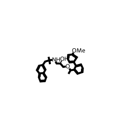 COc1cccc(-c2ccccc2C(C)OC[C@H](O)CNC(C)(C)Cc2ccc3ccccc3c2)c1